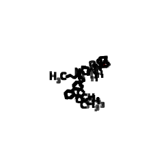 CCCCc1nc2ccc(NC(=O)NC34CC5CC(CC(C5)C3)C4)cc2n1Cc1ccc(-c2ccccc2C(=O)OC(C)(C)C)cc1